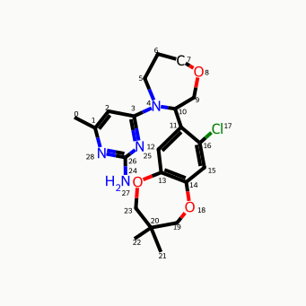 Cc1cc(N2CCCOCC2c2cc3c(cc2Cl)OCC(C)(C)CO3)nc(N)n1